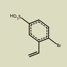 C=Cc1cc(S(=O)(=O)O)ccc1Br